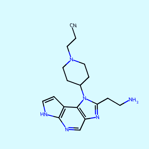 N#CCCN1CCC(n2c(CCN)nc3cnc4[nH]ccc4c32)CC1